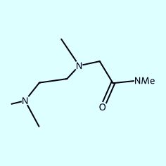 CNC(=O)CN(C)CCN(C)C